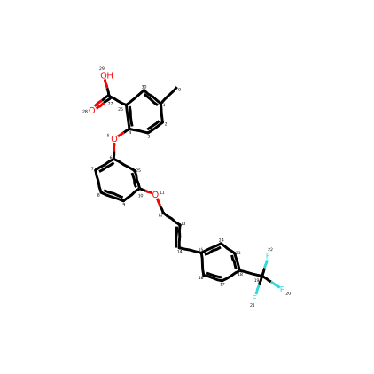 Cc1ccc(Oc2cccc(OC/C=C/c3ccc(C(F)(F)F)cc3)c2)c(C(=O)O)c1